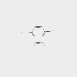 CCOC(=O)/C=C\C(=O)OCC.COC(=O)/C=C\C(=O)OC